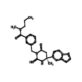 CCCN(C)C(=O)c1cccc(CN2C(=N)N[C@](C)(c3ccc4sccc4c3)CC2=O)c1